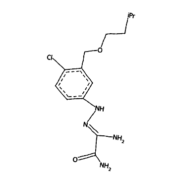 CC(C)CCOCc1cc(NN=C(N)C(N)=O)ccc1Cl